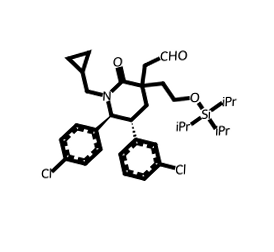 CC(C)[Si](OCCC1(CC=O)C[C@H](c2cccc(Cl)c2)[C@@H](c2ccc(Cl)cc2)N(CC2CC2)C1=O)(C(C)C)C(C)C